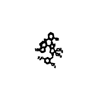 CCc1cccc(CC)c1-n1nc2c(c1-c1cccc3[nH]ccc13)CN(Cc1cc(C(F)(F)F)ccc1C(F)(F)F)C2(C)C